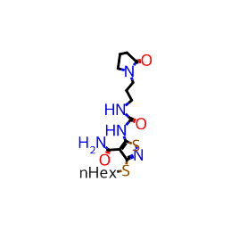 CCCCCCSc1nsc(NC(=O)NCCCN2CCCC2=O)c1C(N)=O